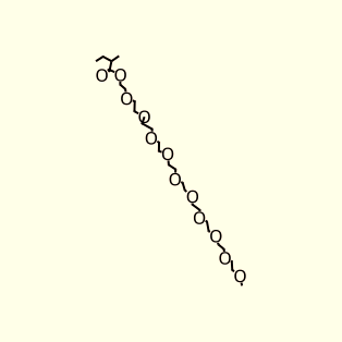 CCC(C)C(=O)OCCOCCOCCOCCOCCOCCOCCOCCOCCOCCOC